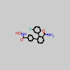 NC(=O)c1cccc(-c2ccc(C(=O)NO)cc2)c1-c1cccc(F)c1